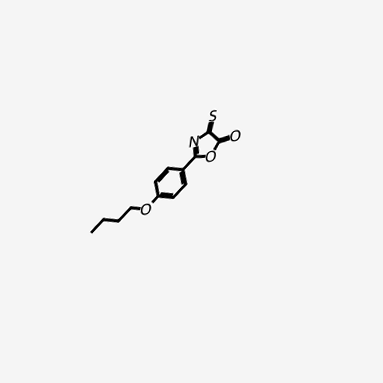 CCCCOc1ccc(C2=NC(=S)C(=O)O2)cc1